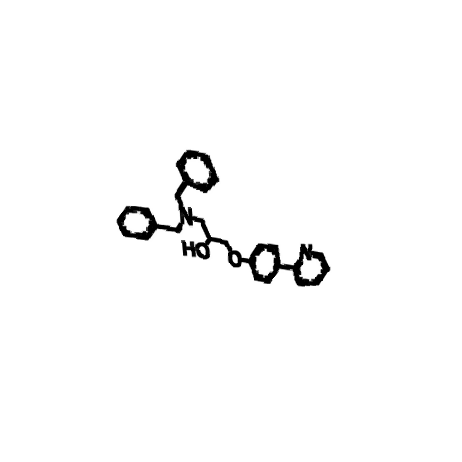 OC(COc1ccc(-c2ccccn2)cc1)CN(Cc1ccccc1)Cc1ccccc1